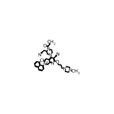 C=CC(=O)N1CCN(c2c(C#N)c(OCCCN3CCN(C)CC3)nc3c2CCN(c2cccc4cccc(C)c24)C3)CC1CC#N